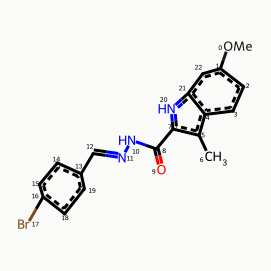 COc1ccc2c(C)c(C(=O)NN=Cc3ccc(Br)cc3)[nH]c2c1